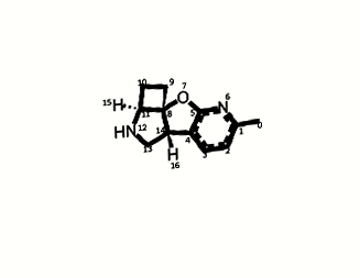 Cc1ccc2c(n1)O[C@@]13CC[C@@H]1NC[C@@H]23